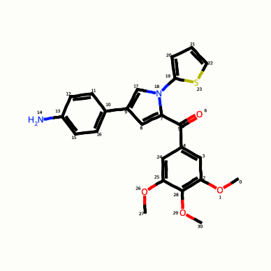 COc1cc(C(=O)c2cc(-c3ccc(N)cc3)cn2-c2cccs2)cc(OC)c1OC